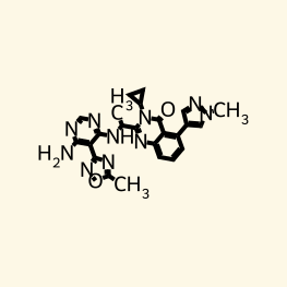 Cc1nc(-c2c(N)ncnc2NC(C)c2nc3cccc(-c4cnn(C)c4)c3c(=O)n2C2CC2)no1